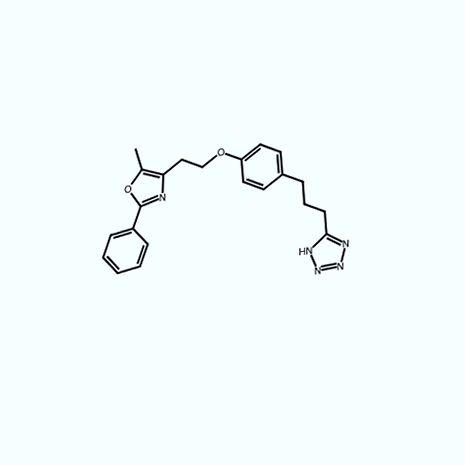 Cc1oc(-c2ccccc2)nc1CCOc1ccc(CCCc2nnn[nH]2)cc1